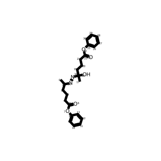 CC(CCCC(=O)Oc1ccccc1)N=NC(C)(O)CCCC(=O)Oc1ccccc1